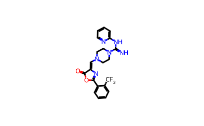 N=C(Nc1ccccn1)N1CCN(/C=C2\N=C(c3ccccc3C(F)(F)F)OC2=O)CC1